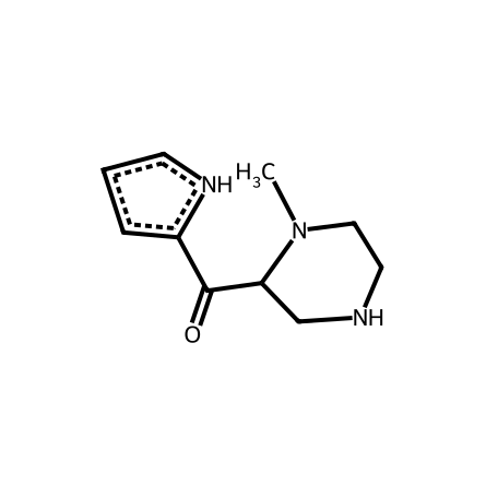 CN1CCNCC1C(=O)c1ccc[nH]1